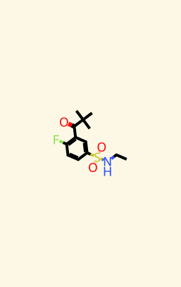 CCNS(=O)(=O)c1ccc(F)c(C(=O)C(C)(C)C)c1